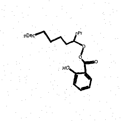 CCCCCCCCCCCCCCC(CCC)OOC(=O)c1ccccc1O